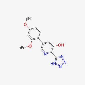 CCCOc1ccc(-c2cnc(-c3nnn[nH]3)c(O)c2)c(OCCC)c1